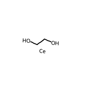 OCCO.[Ce]